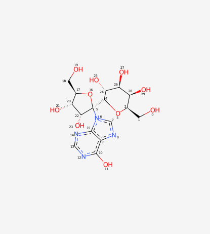 OC[C@H]1OC([C@@]2(n3cnc4c(O)ncnc43)O[C@H](CO)[C@@H](O)[C@H]2O)[C@H](O)[C@@H](O)[C@H]1O